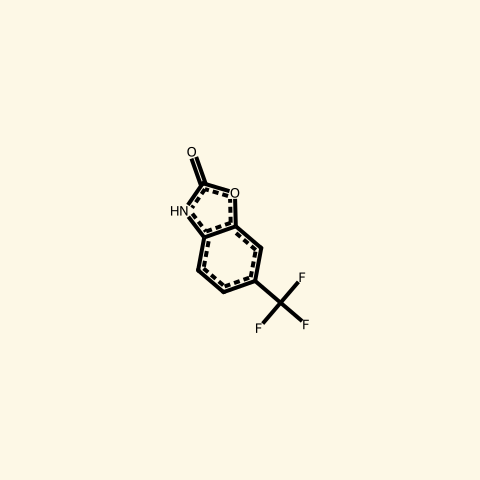 O=c1[nH]c2ccc(C(F)(F)F)cc2o1